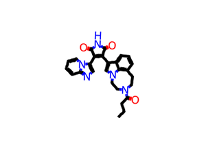 CCCC(=O)N1CCc2cccc3c(C4=C(c5cnc6ccccn56)C(=O)NC4=O)cn(c23)CC1